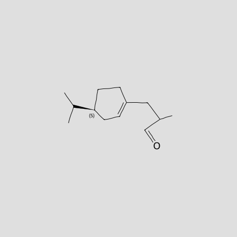 CC(C=O)CC1=CC[C@@H](C(C)C)CC1